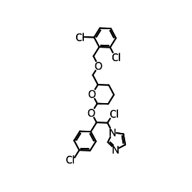 Clc1ccc(C(OC2CCCC(COCc3c(Cl)cccc3Cl)O2)C(Cl)n2ccnc2)cc1